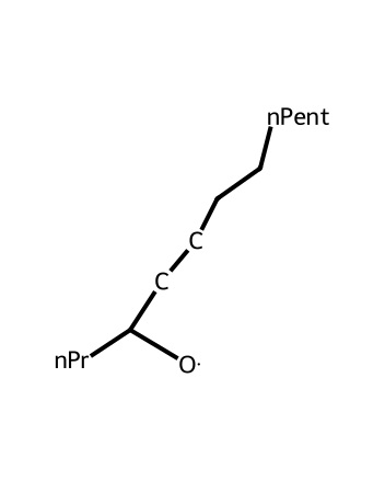 CCCCCCCCCC([O])CCC